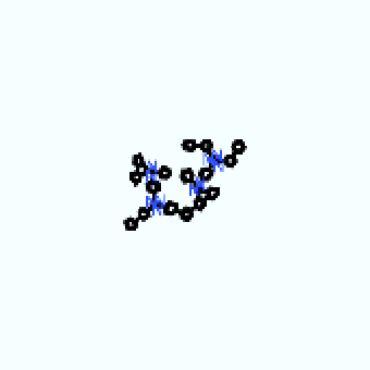 c1ccc(-c2ccc(-c3nc(-c4ccc(-c5cccc(-c6ccc7c8ccccc8c8c(nc(-c9ccccc9)n8-c8ccc(-c9nc(-c%10cccc(-c%11ccccc%11)c%10)nc(-c%10cccc(-c%11ccccc%11)c%10)n9)cc8)c7c6)c5)cc4)nc(-c4ccc(-n5c(-c6ccccc6)nc6c7ccccc7c7ccccc7c65)cc4)n3)cc2)cc1